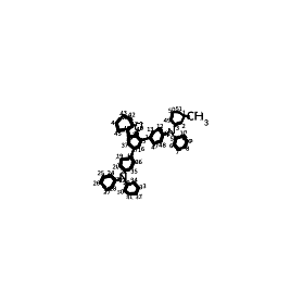 CC1C=C(N(c2ccccc2)c2ccc(-c3cc(-c4ccc(N(c5ccccc5)c5ccccc5)cc4)cc4c3oc3ccccc34)cc2)C=CC1